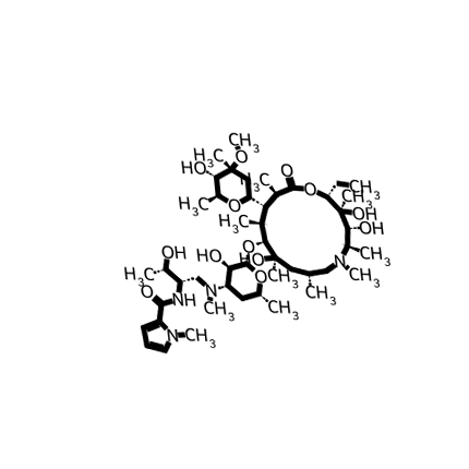 CC[C@H]1OC(=O)[C@H](C)[C@@H](C2C[C@@](C)(OC)[C@@H](O)[C@H](C)O2)[C@H](C)[C@@H](O[C@@H]2O[C@H](C)C[C@H](N(C)C[C@H](NC(=O)c3cccn3C)[C@H](C)O)[C@H]2O)[C@](C)(O)C[C@@H](C)CN(C)[C@H](C)[C@@H](O)[C@]1(C)O